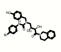 O=C(Nc1ccc(Br)cc1)N(Cc1ccc(O)cc1)C[C@H](O)[C@@H](O)C(=O)N1CCc2ccccc2C1